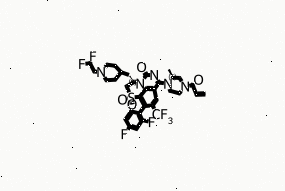 C=CC(=O)N1CCN(c2nc(=O)n3c4c(c(-c5ccc(F)cc5F)c(C(F)(F)F)cc24)S(=O)(=O)C[C@@H]3CC2CCN(CC(F)F)CC2)[C@@H](C)C1